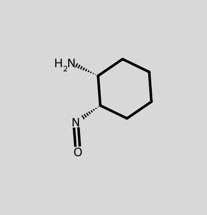 N[C@@H]1CCCC[C@@H]1N=O